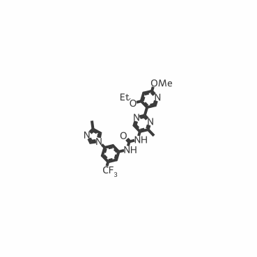 CCOc1cc(OC)ncc1-c1ncc(NC(=O)Nc2cc(-n3cnc(C)c3)cc(C(F)(F)F)c2)c(C)n1